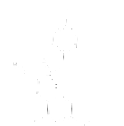 COc1ccc(C=C(C#N)S(=O)(=O)Cc2ccc(Cl)cc2)c(F)c1